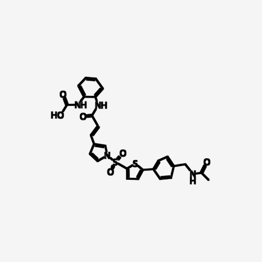 CC(=O)NCc1ccc(-c2ccc(S(=O)(=O)n3ccc(C=CC(=O)Nc4ccccc4NC(=O)O)c3)s2)cc1